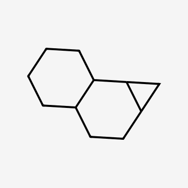 C1CCC2C(C1)CCC1CC12